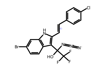 [N-]=[N+]=NC(O)(c1c(/C=C/c2ccc(Cl)cc2)[nH]c2cc(Br)ccc12)C(F)(F)F